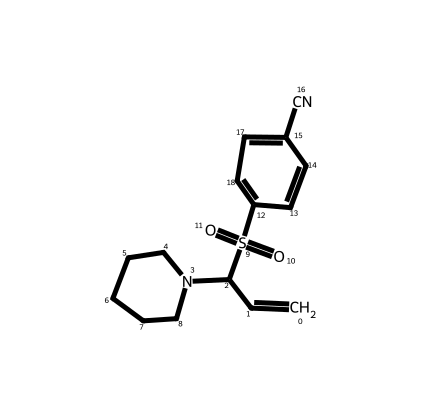 C=CC(N1CCCCC1)S(=O)(=O)c1ccc(C#N)cc1